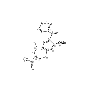 C=C(c1ccccc1)c1cc2c(cc1OC)CCN(C(=O)C(F)(F)F)CC2C